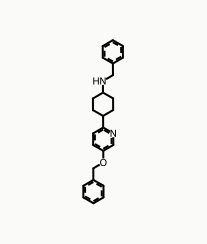 c1ccc(CNC2CCC(c3ccc(OCc4ccccc4)cn3)CC2)cc1